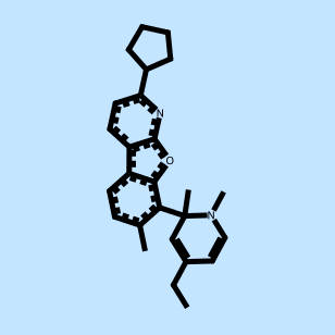 CCC1=CC(C)(c2c(C)ccc3c2oc2nc(C4CCCC4)ccc23)N(C)C=C1